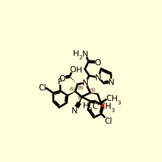 CC(C)(C)C[C@@H]1N(C(CC(N)=O)n2ccnc2)[C@@H](C(=O)O)[C@H](c2cccc(Cl)c2F)[C@@]1(C#N)c1ccc(Cl)cc1